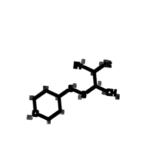 CCC(C(C)C)C(C)SSC1CCOCC1